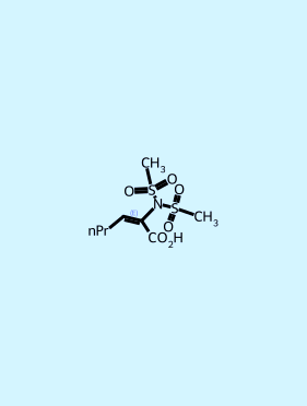 CCC/C=C(\C(=O)O)N(S(C)(=O)=O)S(C)(=O)=O